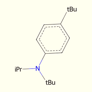 CC(C)N(c1ccc(C(C)(C)C)cc1)C(C)(C)C